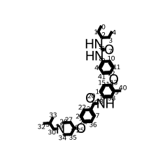 CCC(CC)NC(=O)Nc1ccc(Oc2ccc(NC(=O)c3ccc(OC4CCN(CC(C)C)CC4)cc3)cc2C)cc1